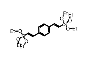 CCO[Si](C=Cc1ccc(C=C[Si](OCC)(OCC)OCC)cc1)(OCC)OCC